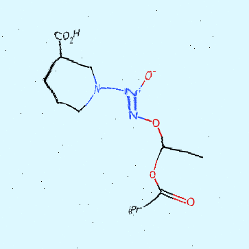 CC(O/N=[N+](\[O-])N1CCCC(C(=O)O)C1)OC(=O)C(C)C